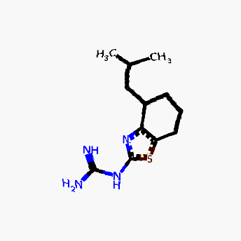 CC(C)CC1CCCc2sc(NC(=N)N)nc21